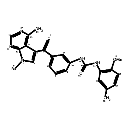 CCC(C)n1cc(C(=O)c2cccc(NC(=O)Nc3cc(C)ccc3OC)c2)c2c(N)ncnc21